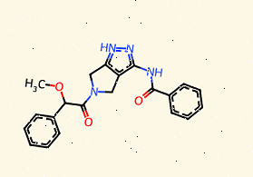 COC(C(=O)N1Cc2[nH]nc(NC(=O)c3ccccc3)c2C1)c1ccccc1